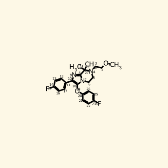 COCCN1CCn2c(nc(-c3ccc(F)cc3)c2Oc2ccc(F)cc2)C1(C)C